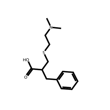 CN(C)CCSCC(Cc1ccccc1)C(=O)O